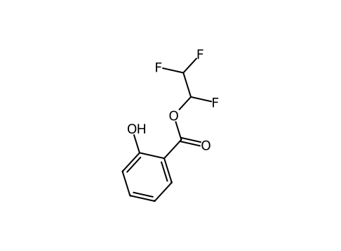 O=C(OC(F)C(F)F)c1ccccc1O